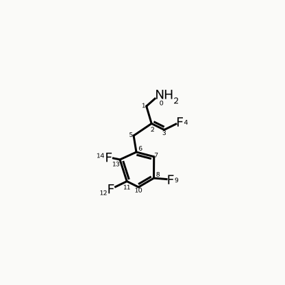 NCC(=CF)Cc1cc(F)cc(F)c1F